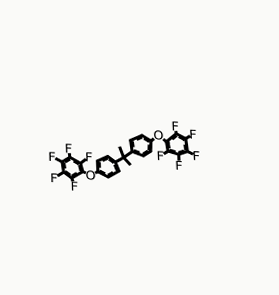 CC(C)(c1ccc(Oc2c(F)c(F)c(F)c(F)c2F)cc1)c1ccc(Oc2c(F)c(F)c(F)c(F)c2F)cc1